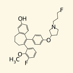 COc1c(F)cccc1C1=C(c2ccc(OC3CCN(CCCF)C3)cc2)c2ccc(O)cc2CCC1